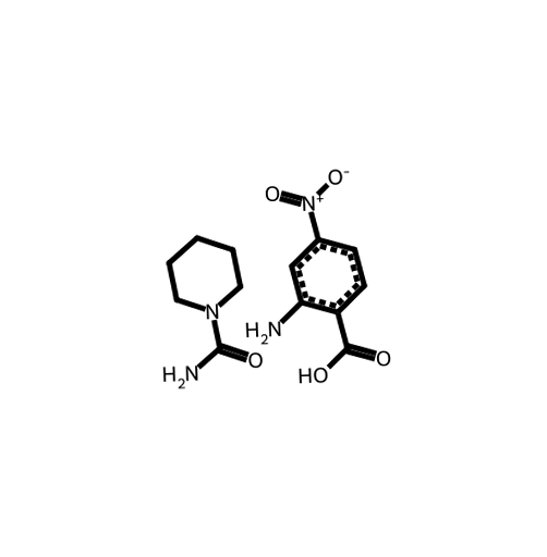 NC(=O)N1CCCCC1.Nc1cc([N+](=O)[O-])ccc1C(=O)O